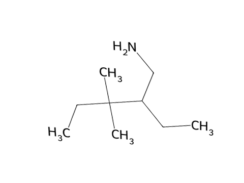 CCC(CN)C(C)(C)CC